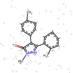 Cc1ccc(-c2c(-c3ccccc3C)[nH]n(C(C)(C)C)c2=O)cc1